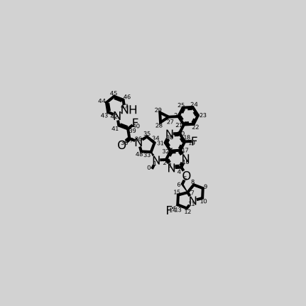 CN(c1nc(OC[C@@]23CCCN2C[C@H](F)C3)nc2c(F)c(-c3ccccc3C3CC3)ncc12)[C@@H]1CCN(C(=O)/C(F)=C/N2C=CC=CN2)C1